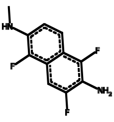 CNc1ccc2c(F)c(N)c(F)cc2c1F